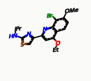 CCOc1cc(-c2csc(NC(C)C)n2)nc2c(Br)c(OC)ccc12